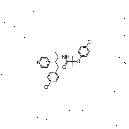 CC(NC(=O)C(C)(C)Oc1ccc(Cl)cc1)C(Cc1ccc(Cl)cc1)c1ccncc1